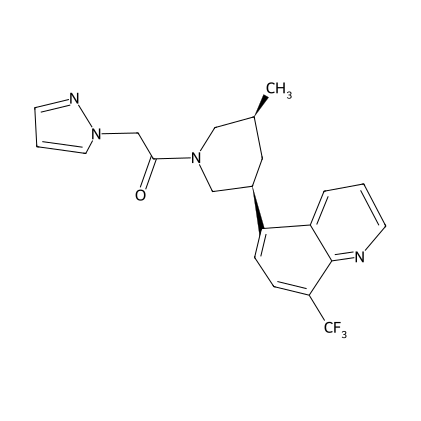 C[C@H]1C[C@@H](c2ccc(C(F)(F)F)c3ncccc23)CN(C(=O)Cn2cccn2)C1